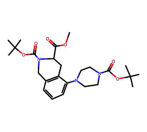 COC(=O)C1Cc2c(cccc2N2CCN(C(=O)OC(C)(C)C)CC2)CN1C(=O)OC(C)(C)C